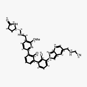 COc1nc(-c2cccc(-c3cccc(-n4cc5cc(CNCC#N)cnc5n4)c3Cl)c2Cl)ccc1CNC[C@@H]1CCC(=O)N1